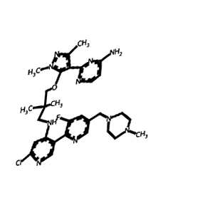 Cc1nn(C)c(OCC(C)(C)CNc2cc(Cl)ncc2-c2ncc(CN3CCN(C)CC3)cc2F)c1-c1nccc(N)n1